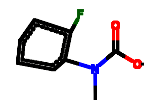 CN(C([O])=O)c1ccccc1F